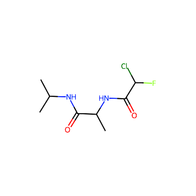 CC(C)NC(=O)C(C)NC(=O)C(F)Cl